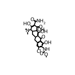 COC(=O)Nc1c(Cl)cc2c(c1O)C(=O)C1=C(O)C3(O)C(=O)C(C(N)=O)=C(O)C(N(C)C)C3CC1C2